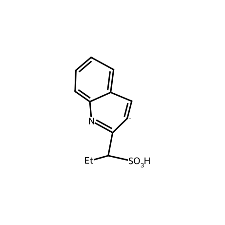 CCC(c1[c]cc2ccccc2n1)S(=O)(=O)O